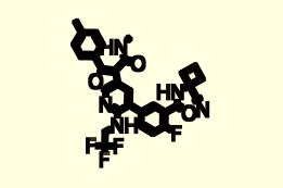 CNC(=O)c1c(-c2ccc(C)cc2)oc2nc(NCC(F)(F)F)c(-c3ccc(F)c(C(=O)NC4(C#N)CCC4)c3)cc12